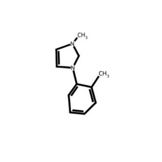 Cc1ccccc1N1C=CN(C)C1